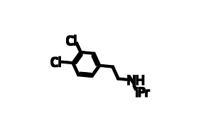 CC(C)NCCc1ccc(Cl)c(Cl)c1